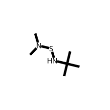 CN(C)SNC(C)(C)C